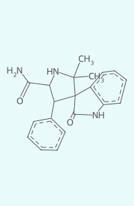 CC1(C)NC(C(N)=O)C(c2ccccc2)C12C(=O)Nc1ccccc12